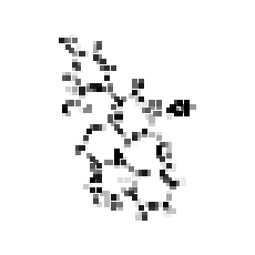 O=C1CCc2c(-c3ccc(F)cc3Cl)cc(O)cc2N1c1c(Cl)cccc1Cl